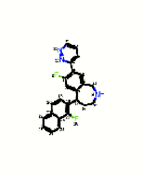 Fc1cc2c(cc1-c1cccnn1)CNCCC2c1ccc2ccccc2c1F